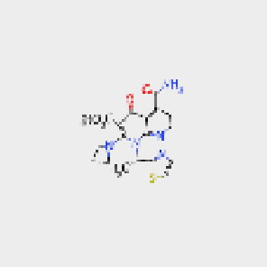 CCOC(=O)c1c(N2CCC2)n(C(C)c2nccs2)c2nccc(C(N)=O)c2c1=O